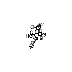 COc1ccc([C@@H](Cc2c(Cl)c[n+]([O-])cc2Cl)C(C(=O)O)c2ccc(CO[Si](C)(C)C(C)(C)C)s2)cc1OC